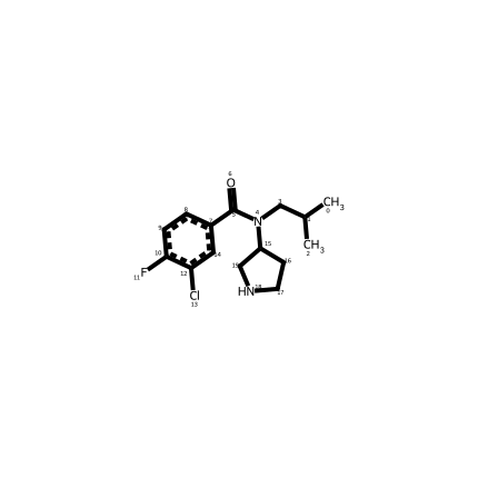 CC(C)CN(C(=O)c1ccc(F)c(Cl)c1)C1CCNC1